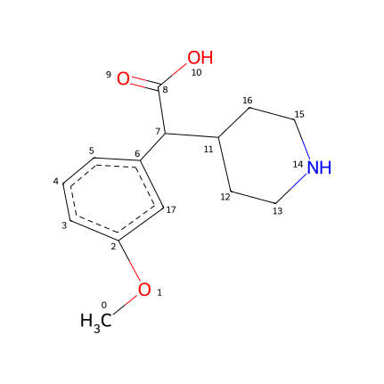 COc1cccc(C(C(=O)O)C2CCNCC2)c1